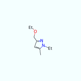 CCOCc1cc(C)n(CC)n1